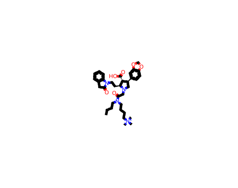 CCCCN(CCCC[N+](C)(C)C)C(=O)CN1C[C@H](c2ccc3c(c2)OCO3)[C@@H](C(=O)O)[C@@H]1CCN1C(=O)Cc2ccccc21